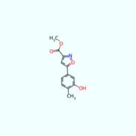 COC(=O)c1cc(-c2ccc(C)c(O)c2)on1